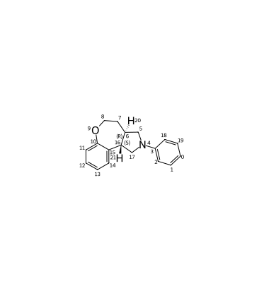 c1ccc(N2C[C@@H]3CCOc4ccccc4[C@H]3C2)cc1